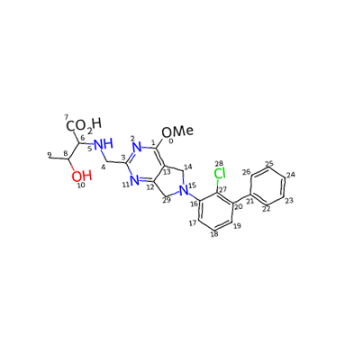 COc1nc(CNC(C(=O)O)C(C)O)nc2c1CN(c1cccc(-c3ccccc3)c1Cl)C2